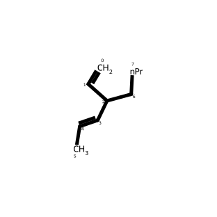 C=CC(/C=C/C)CCCC